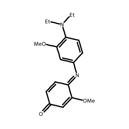 CCN(CC)c1ccc(N=C2C=CC(=O)C=C2OC)cc1OC